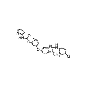 Cn1c(Nc2ccc(Cl)cc2)nc2cc(Oc3ccnc(OC(=O)Nc4nccs4)c3)ccc21